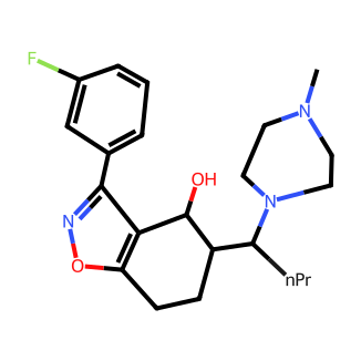 CCCC(C1CCc2onc(-c3cccc(F)c3)c2C1O)N1CCN(C)CC1